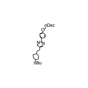 CCCCCCCCCCCOc1ccc(-c2ncc(CCC3CCC(CCCC)CC3)cn2)cc1